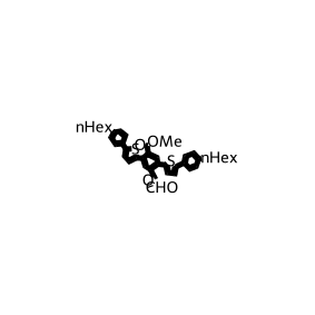 CCCCCCc1ccc(-c2ccc(-c3cc(C(=O)OC)c(-c4ccc(-c5ccc(CCCCCC)cc5)s4)cc3COC=O)s2)cc1